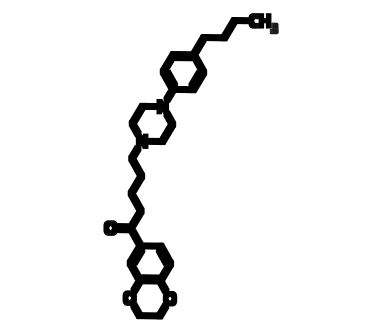 CCCCc1ccc(N2CCN(CCCCC(=O)c3ccc4c(c3)OCCO4)CC2)cc1